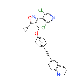 Clc1cncc(Cl)c1-c1noc(C2CC2)c1COC12CCC(C#Cc3ccc4ncccc4c3)(CC1)CC2